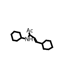 CC(=O)C(/C=C/C1CCCCC1)NC1CCCCC1